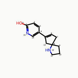 Oc1ccc(C2=CCC3(CCCN3)C2)cn1